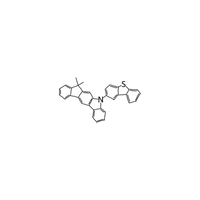 CC1(C)c2ccccc2-c2cc3c4ccccc4n(-c4ccc5sc6ccccc6c5c4)c3cc21